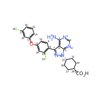 Nc1ncnc2c1c(-c1ccc(Oc3cccc(F)c3)cc1F)nn2[C@H]1CC[C@H](C(=O)O)CC1